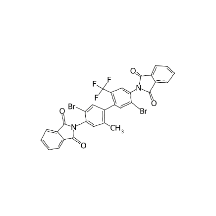 Cc1cc(N2C(=O)c3ccccc3C2=O)c(Br)cc1-c1cc(Br)c(N2C(=O)c3ccccc3C2=O)cc1C(F)(F)F